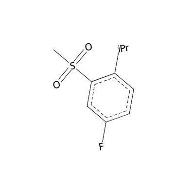 CC(C)c1ccc(F)cc1S(C)(=O)=O